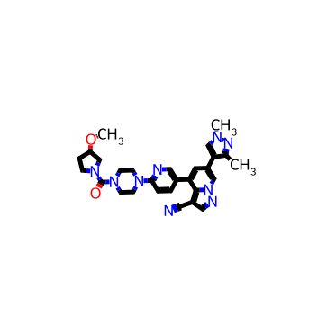 COC1CCN(C(=O)N2CCN(c3ccc(-c4cc(-c5cn(C)nc5C)cn5ncc(C#N)c45)cn3)CC2)C1